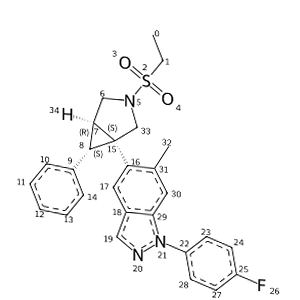 CCS(=O)(=O)N1C[C@@H]2[C@@H](c3ccccc3)[C@]2(c2cc3cnn(-c4ccc(F)cc4)c3cc2C)C1